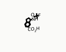 CC(C)(F)C(=O)NC1CCc2ccc(C(=O)O)cc21